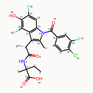 CCC(C)(NC(=O)[C@H](C)c1c(C)n(C(=O)c2ccc(Cl)c(F)c2)c2cc(F)c(O)c(F)c12)C(=O)O